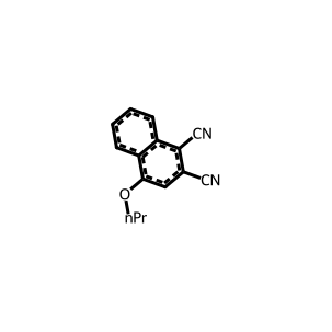 CCCOc1cc(C#N)c(C#N)c2ccccc12